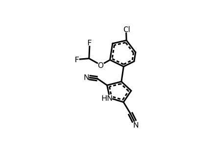 N#Cc1cc(-c2ccc(Cl)cc2OC(F)F)c(C#N)[nH]1